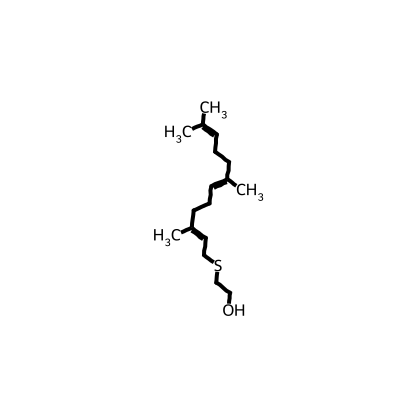 CC(C)=CCCC(C)=CCCC(C)=CCSCCO